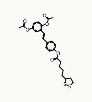 CC(=O)Oc1ccc(OC(C)=O)c(C=Cc2ccc(OC(=O)CCCCC3CCSS3)cc2)c1